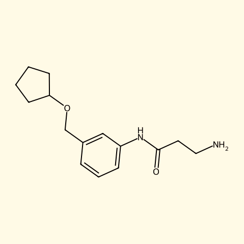 NCCC(=O)Nc1cccc(COC2CCCC2)c1